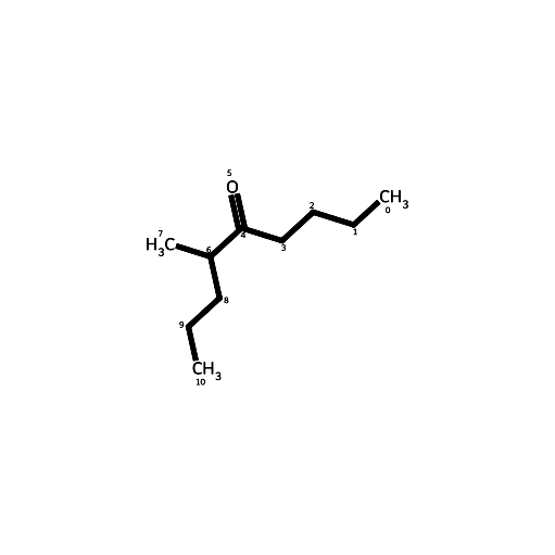 CCCCC(=O)C(C)CCC